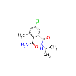 Cc1cc(Cl)cc(C(=O)NC(C)C)c1C(N)=O